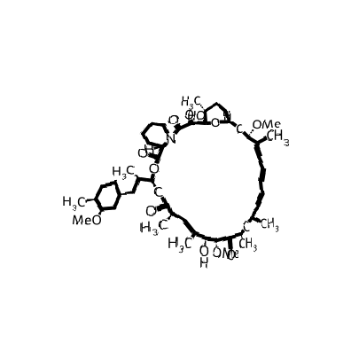 CO[C@H]1C[C@@H]2CC[C@@H](C)[C@@](O)(O2)C(=O)C(=O)N2CCCC[C@H]2C(=O)O[C@H]([C@H](C)C[C@@H]2CC[C@H](C)[C@H](OC)C2)CC(=O)[C@H](C)/C=C(\C)[C@@H](O)[C@@H](OC)C(=O)[C@@H](C)CC(C)/C=C/C=C/C=C/1C